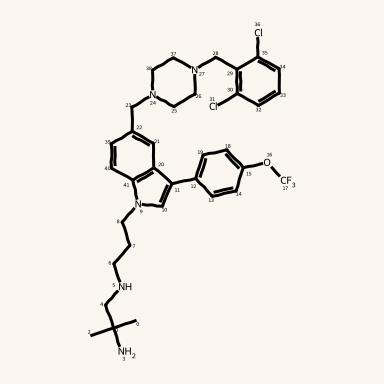 CC(C)(N)CNCCCn1cc(-c2ccc(OC(F)(F)F)cc2)c2cc(CN3CCN(Cc4c(Cl)cccc4Cl)CC3)ccc21